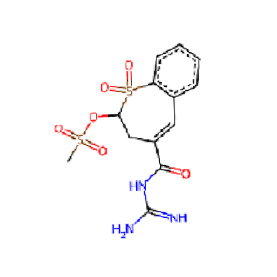 CS(=O)(=O)OC1CC(C(=O)NC(=N)N)=Cc2ccccc2S1(=O)=O